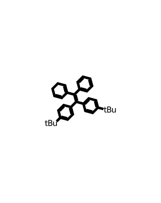 CC(C)(C)c1ccc(C(=C(C2=CCCC=C2)c2ccccc2)c2ccc(C(C)(C)C)cc2)cc1